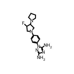 Nc1nc(N)n(-c2ccc(N3CC(F)C(N4CCCC4)C3)cc2)n1